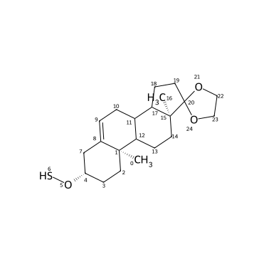 C[C@]12CC[C@H](OS)CC1=CCC1C2CC[C@@]2(C)C1CCC21OCCO1